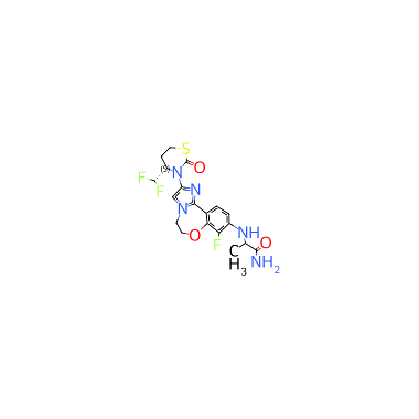 CC(Nc1ccc2c(c1F)OCCn1cc(N3C(=O)SCC[C@H]3C(F)F)nc1-2)C(N)=O